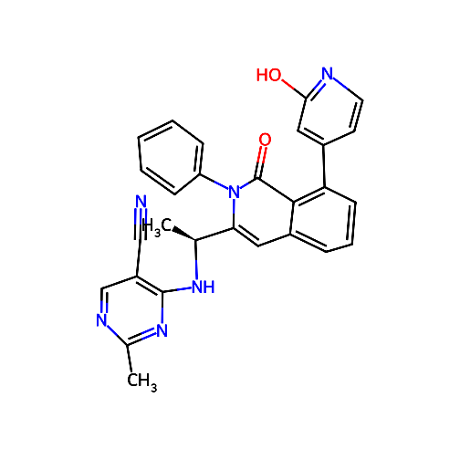 Cc1ncc(C#N)c(N[C@@H](C)c2cc3cccc(-c4ccnc(O)c4)c3c(=O)n2-c2ccccc2)n1